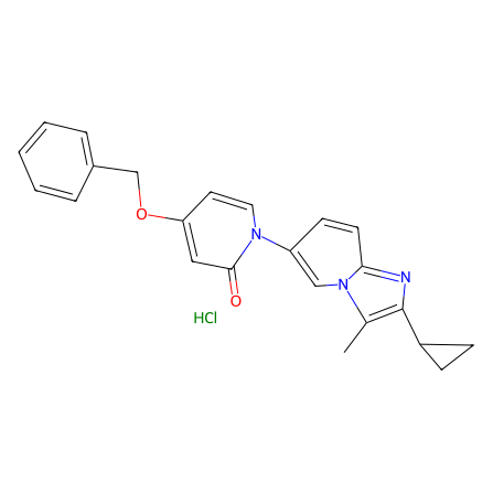 Cc1c(C2CC2)nc2ccc(-n3ccc(OCc4ccccc4)cc3=O)cn12.Cl